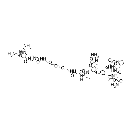 CCCC[C@H](NC(=O)CCC(=O)NCCCOCCOCCOCCCNC(=O)CN1CCN(C(=O)C(CNCCN)CNCCN)CC1)C(=O)N=CC(CSCc1cccc(CSCC(NC(=O)[C@H](Cc2ccccc2)NC(=O)[C@H](CCC(N)=O)NC(=O)[C@@H](C)CC)C(=O)O)c1)C(=O)N1CCC[C@H]1C(=O)N1CCC[C@H]1C(N)=O